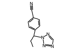 CCC(c1ccc(C#N)cc1)n1ncnn1